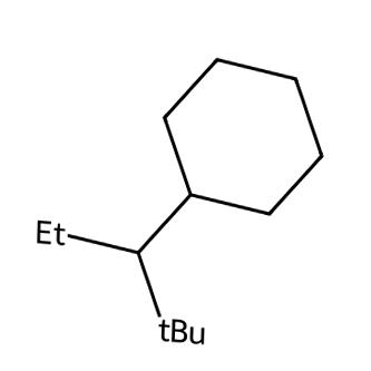 [CH2]CC(C1CCCCC1)C(C)(C)C